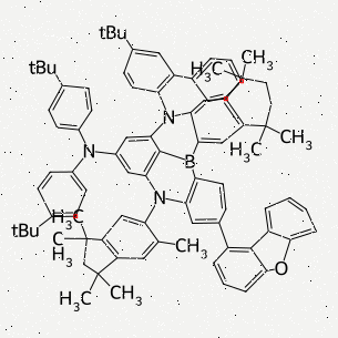 Cc1cc2c(cc1N1c3cc(-c4cccc5oc6ccccc6c45)ccc3B3c4cc5c(cc4N(c4ccc(C(C)(C)C)cc4-c4ccccc4)c4cc(N(c6ccc(C(C)(C)C)cc6)c6ccc(C(C)(C)C)cc6)cc1c43)C(C)(C)CCC5(C)C)C(C)(C)CC2(C)C